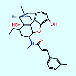 CCC1CC(N(C)C(=O)/C=C/c2cccc(C)c2)C2Oc3c(O)ccc4c3[C@@]23CCN(C)[C@H](C4)[C@]13O